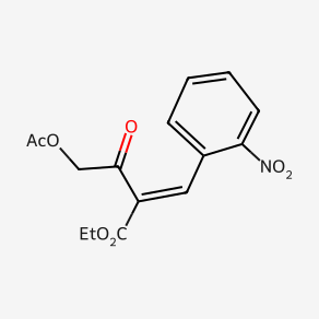 CCOC(=O)C(=Cc1ccccc1[N+](=O)[O-])C(=O)COC(C)=O